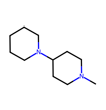 CN1CCC(N2C[CH]CCC2)CC1